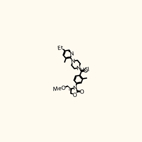 CCc1cnc(N2CCN(C(=O)c3ccc(N4C(=O)OC[C@H]4COC)cc3C)CC2)c(C)c1.Cl